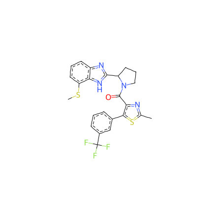 CSc1cccc2nc(C3CCCN3C(=O)c3nc(C)sc3-c3cccc(C(F)(F)F)c3)[nH]c12